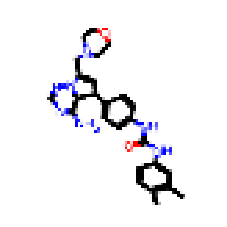 Cc1ccc(NC(=O)Nc2ccc(C3C=C(CN4CCOCC4)N4N=CN=C(N)C34)cc2)cc1C